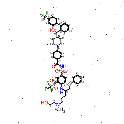 CN(CCO)CCCC(CSc1ccccc1)Nc1ccc(S(=O)(=O)NC(=O)c2ccc(N3CCC(C(O)c4ccccc4-c4ccc(C(F)(F)F)cc4)CC3)cc2)cc1S(=O)(=O)C(F)(F)F